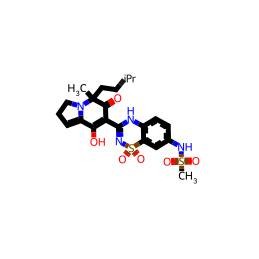 CC(C)CCC1(C)C(=O)C(C2=NS(=O)(=O)c3cc(NS(C)(=O)=O)ccc3N2)=C(O)C2=CCCN21